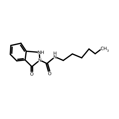 CCCCCCNC(=O)n1[nH]c2ccccc2c1=O